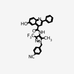 Cc1c(NC(=O)c2cc(-c3ccccc3)nc3ccc(O)cc23)c(C(F)(F)F)nn1Cc1ccc(C#N)cc1